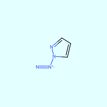 [N-]=[N+]n1cccn1